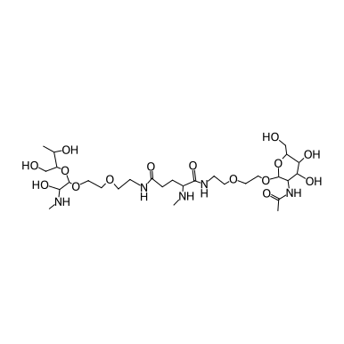 CNC(CCC(=O)NCCOCCOC(OC(CO)C(C)O)C(O)NC)C(=O)NCCOCCOC1OC(CO)C(O)C(O)C1NC(C)=O